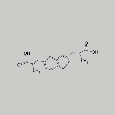 C/C(=C\c1ccc2ccc(/C=C(\C)C(=O)O)cc2c1)C(=O)O